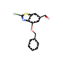 O=Cc1cc(OCc2ccccc2)c2nc(Cl)sc2c1